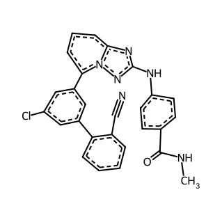 CNC(=O)c1ccc(Nc2nc3cccc(-c4cc(Cl)cc(-c5ccccc5C#N)c4)n3n2)cc1